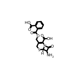 NC1C(=O)N2C(C(=O)O)=C(COC(=O)c3ccccc3C(=O)O)CS[C@@H]12